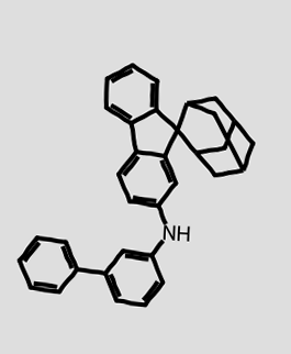 c1ccc(-c2cccc(Nc3ccc4c(c3)C3(c5ccccc5-4)C4CC5CC(C4)CC3C5)c2)cc1